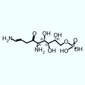 NC=CCC(=O)[C@H](N)[C@@H](O)[C@H](O)[C@H](O)COP(=O)(O)O